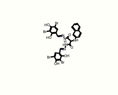 O=C(N/N=C/c1cc(Br)c(O)c(Br)c1O)C(Nc1ccc2ccccc2c1)C(=O)N/N=C/c1cc(Br)c(O)c(Br)c1O